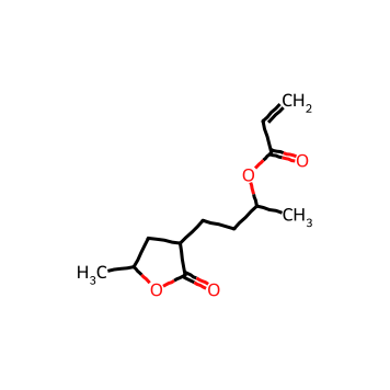 C=CC(=O)OC(C)CCC1CC(C)OC1=O